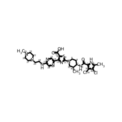 Cc1[nH]c(C(=O)N[C@@H]2CCN(c3nc(-c4cnc(NCCN5CCN(C)CC5)cn4)c(C(=O)O)s3)C[C@@H]2C)c(Cl)c1Cl